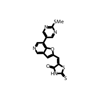 CSc1ncc(-c2cncc3cc(C=C4SC(=S)NC4=O)oc23)cn1